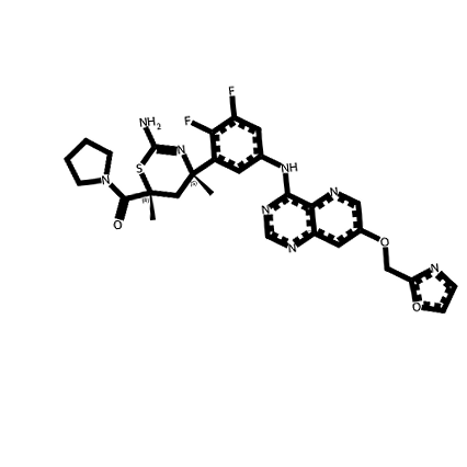 C[C@]1(C(=O)N2CCCC2)C[C@@](C)(c2cc(Nc3ncnc4cc(OCc5ncco5)cnc34)cc(F)c2F)N=C(N)S1